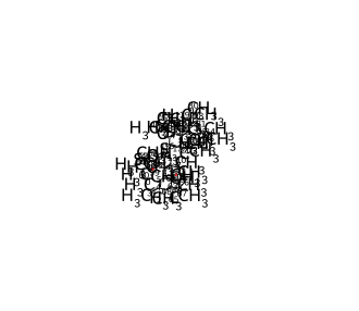 CC(C)(C)c1cc(-c2c(C(C)(C)C)cc(Sc3cc(C(C)(C)C)c(-c4cc(C(C)(C)C)cc(C(C)(C)C)c4O)c(C(C)(C)C)c3O[Si](C)(C)C)c(O[Si](C)(C)C)c2C(C)(C)C)c(O)c(C(C)(C)C)c1